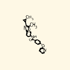 Cc1c(C2CC2C)nc2ccc(NC(=O)c3ccc(Oc4ccccn4)cc3)cn12